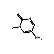 C=C1N=CC(N)=CN1C